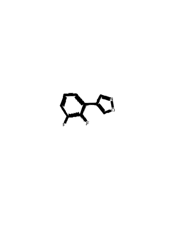 Fc1cccc(-c2[c]noc2)c1F